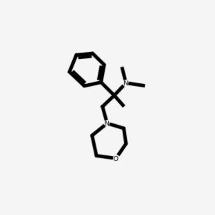 CN(C)C(C)([CH]N1CCOCC1)c1ccccc1